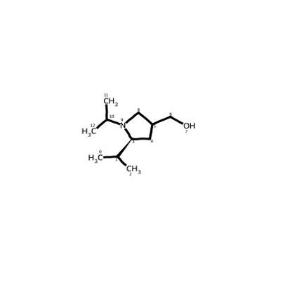 CC(C)[C@@H]1CC(CO)CN1C(C)C